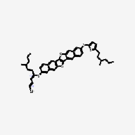 CCCC(C)CC/C(=C/C=C/S)Sc1ccc2cc3c(cc2c1)sc1c2cc4ccc(Sc5ccc(CCC(C)CCC)s5)cc4cc2sc31